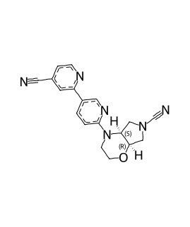 N#Cc1ccnc(-c2ccc(N3CCO[C@@H]4CN(C#N)C[C@@H]43)nc2)c1